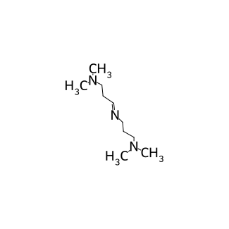 CN(C)CC/C=N/CCCN(C)C